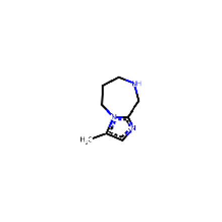 Cc1cnc2n1CCCNC2